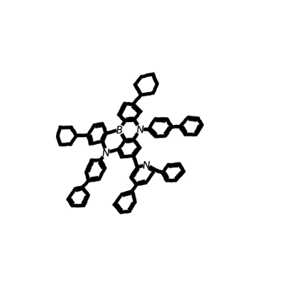 c1ccc(-c2ccc(N3c4cc(C5CCCCC5)ccc4B4c5ccc(C6CCCCC6)cc5N(c5ccc(-c6ccccc6)cc5)c5cc(-c6cc(-c7ccccc7)cc(-c7ccccc7)n6)cc3c54)cc2)cc1